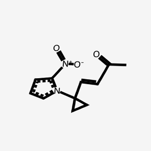 CC(=O)/C=C/C1(n2cccc2[N+](=O)[O-])CC1